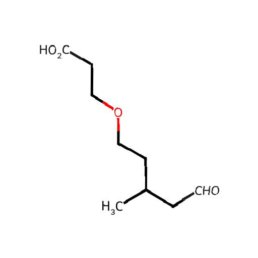 CC(CC=O)CCOCCC(=O)O